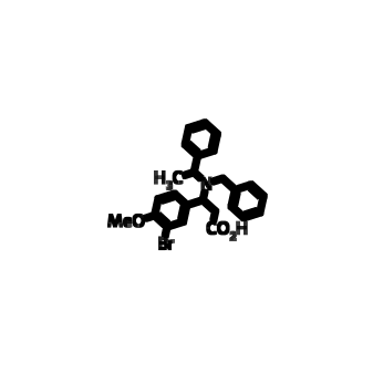 COc1ccc(C(CC(=O)O)N(Cc2ccccc2)C(C)c2ccccc2)cc1Br